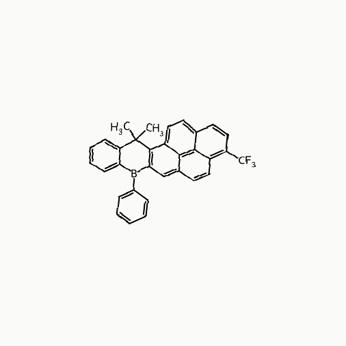 CC1(C)c2ccccc2B(c2ccccc2)c2cc3ccc4c(C(F)(F)F)ccc5ccc(c21)c3c54